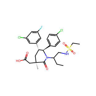 CCC(CNS(=O)(=O)CC)N1C(=O)[C@@](C)(CC(=O)O)C[C@H](c2cc(F)cc(Cl)c2)[C@H]1c1ccc(Cl)cc1